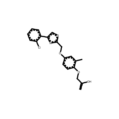 C=C(O)COc1ccc(OCc2nc(-c3ccccc3Cl)cs2)cc1C